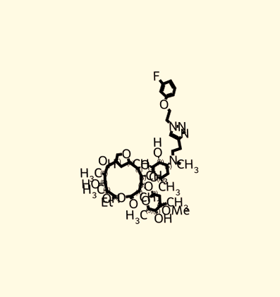 CC[C@H]1OC(=O)[C@H](C)[C@@H](O[C@H]2C[C@@](C)(OC)[C@@H](O)[C@H](C)O2)[C@H](C)[C@@H](O[C@@H]2O[C@H](C)C[C@H](N(C)CCc3cn(CCOc4cccc(F)c4)nn3)[C@H]2O)[C@@]2(C)C[C@@H](CO2)C(=O)[C@H](C)[C@@H](O)[C@]1(C)O